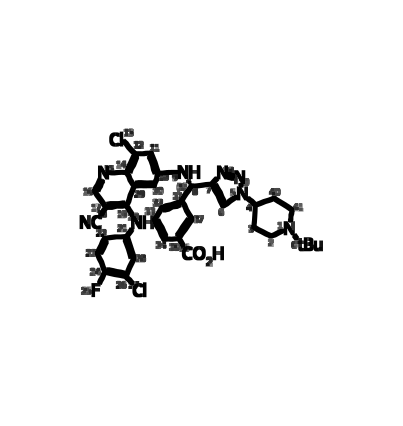 CC(C)(C)N1CCC(n2cc([C@@H](Nc3cc(Cl)c4ncc(C#N)c(Nc5ccc(F)c(Cl)c5)c4c3)c3cccc(C(=O)O)c3)nn2)CC1